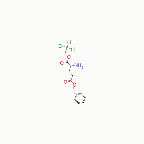 N[C@@H](CCC(=O)OCc1ccccc1)C(=O)OCC(Cl)(Cl)Cl